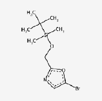 CC(C)(C)[Si](C)(C)OCc1ncc(Br)o1